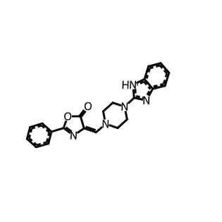 O=C1OC(c2ccccc2)=NC1=CN1CCN(c2nc3ccccc3[nH]2)CC1